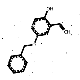 C=Cc1cc(OCc2ccccc2)ccc1O